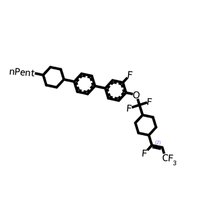 CCCCCC1CCC(c2ccc(-c3ccc(OC(F)(F)C4CCC(/C(F)=C/C(F)(F)F)CC4)c(F)c3)cc2)CC1